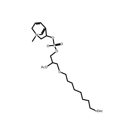 CCCCCCCCCCCCCCCCCCOCC(COP(=O)([O-])OC1C[N+]2(C)C=C1C=CC2)OC(C)=O